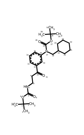 CC(C)(C)OC(=O)NCCC(=O)c1cccc(N(CC2CCCCC2)C(=O)OC(C)(C)C)c1